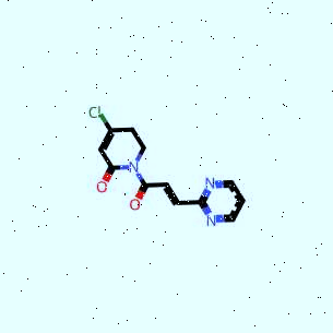 O=C(C=Cc1ncccn1)N1CCC(Cl)=CC1=O